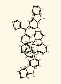 c1ccc(N(c2cccc([Si](c3ccccc3)(c3ccccc3)c3ccccc3N(c3ccccc3)c3ccc4sc5ccccc5c4c3)c2)c2ccc3sc4ccccc4c3c2)cc1